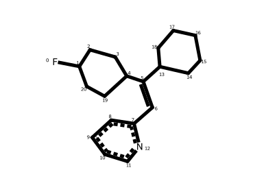 FC1CCC(/C(=C\c2ccccn2)C2CCCCC2)CC1